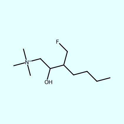 CCCCC(CF)C(O)C[N+](C)(C)C